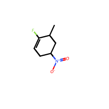 CC1CC([N+](=O)[O-])CC=C1F